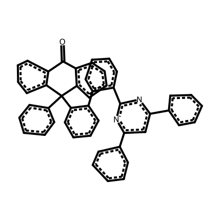 O=C1c2ccccc2C(c2ccccc2)(c2ccccc2-c2ccccc2-c2nc(-c3ccccc3)cc(-c3ccccc3)n2)c2ccccc21